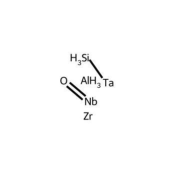 [AlH3].[O]=[Nb].[SiH3][Ta].[Zr]